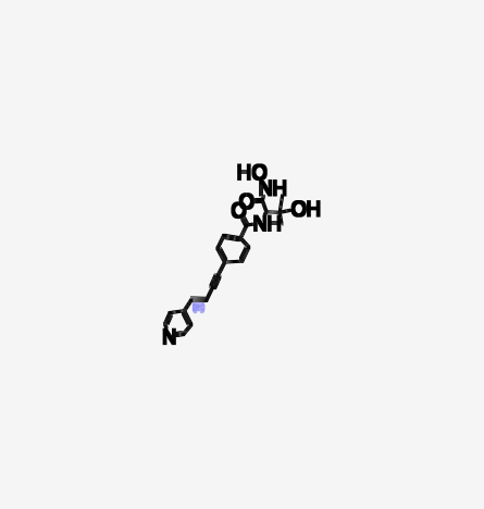 CC(C)(O)C(NC(=O)c1ccc(C#C/C=C/c2ccncc2)cc1)C(=O)NO